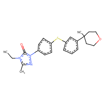 Cc1nn(-c2ccc(Sc3cccc(C4(C#N)CCOCC4)c3)cc2)c(=O)n1CC#N